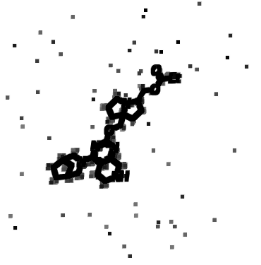 CCC(=O)OC[C@H]1CCC2(COc3nc4c(c(N5CC6CCC(C6)C5)n3)CCNC4)CCCN12